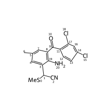 CSC(C#N)c1cc(C)cc(C(=O)c2ccc(Cl)cc2Cl)c1N